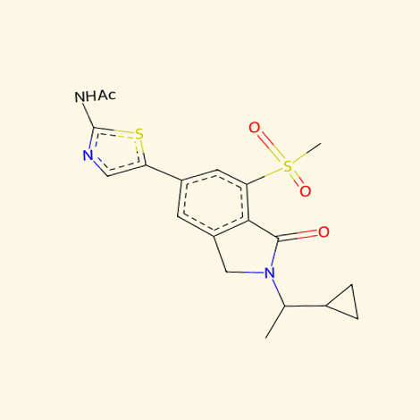 CC(=O)Nc1ncc(-c2cc3c(c(S(C)(=O)=O)c2)C(=O)N(C(C)C2CC2)C3)s1